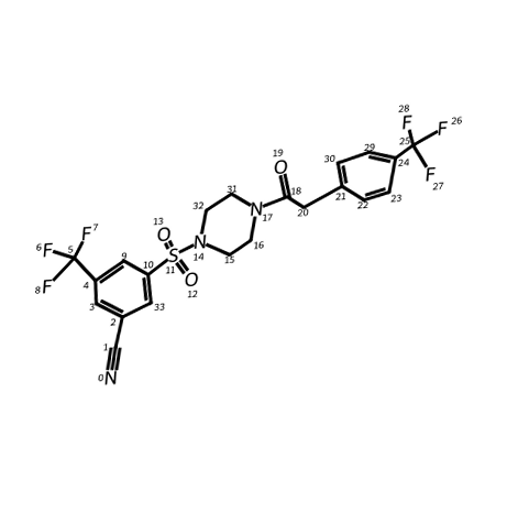 N#Cc1cc(C(F)(F)F)cc(S(=O)(=O)N2CCN(C(=O)Cc3ccc(C(F)(F)F)cc3)CC2)c1